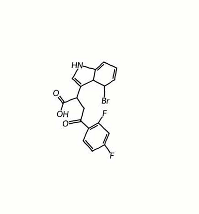 O=C(CC(C(=O)O)C1=CNC2=CC=CC(Br)C21)c1ccc(F)cc1F